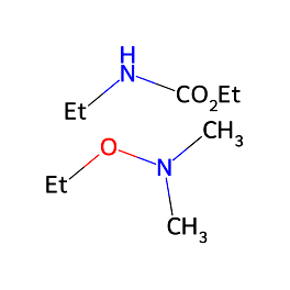 CCNC(=O)OCC.CCON(C)C